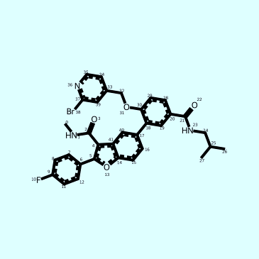 CNC(=O)c1c(-c2ccc(F)cc2)oc2ccc(-c3cc(C(=O)NCC(C)C)ccc3OCc3ccnc(Br)c3)cc12